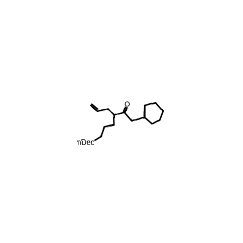 C=CCC(CCCCCCCCCCCCC)C(=O)CC1CCCCC1